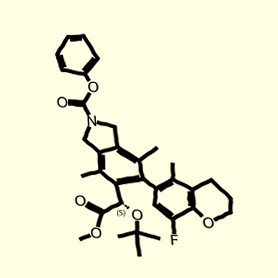 COC(=O)[C@@H](OC(C)(C)C)c1c(C)c2c(c(C)c1-c1cc(F)c3c(c1C)CCCO3)CN(C(=O)Oc1ccccc1)C2